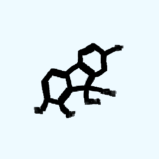 CCCCCCCCC1(CCCCCCCC)c2cc(Br)ccc2-c2ccc(Br)c(Br)c21